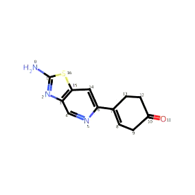 Nc1nc2cnc(C3=CCC(=O)CC3)cc2s1